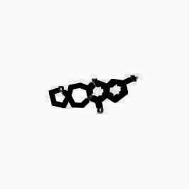 O=c1c2ccc(Br)cc2nc2n1CCC1(CCCO1)CC2